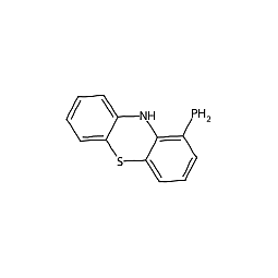 Pc1cccc2c1Nc1ccccc1S2